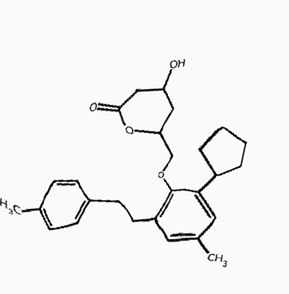 Cc1ccc(CCc2cc(C)cc(C3CCCC3)c2OCC2CC(O)CC(=O)O2)cc1